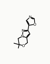 CC1(C)Cn2nc(-c3cnco3)cc2CO1